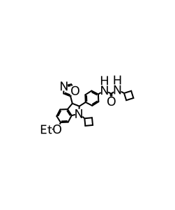 CCOc1ccc2c(c1)N(C1CCC1)C(c1ccc(NC(=O)NC3CCC3)cc1)C2c1cnco1